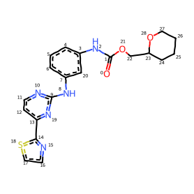 O=C(Nc1cccc(Nc2nccc(-c3nccs3)n2)c1)OCC1CCCCO1